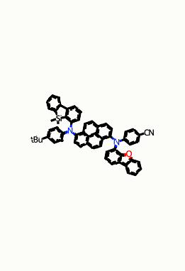 CC(C)(C)c1ccc(N(c2cccc3c2[Si](C)(C)c2ccccc2-3)c2ccc3ccc4c(N(c5ccc(C#N)cc5)c5cccc6c5oc5ccccc56)ccc5ccc2c3c54)cc1